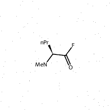 CCC[C@H](NC)C(=O)F